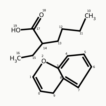 C1=COc2ccccc2C1.CCCCC(CC)C(=O)O